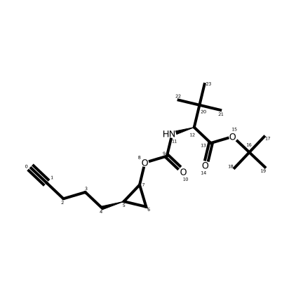 C#CCCC[C@@H]1CC1OC(=O)N[C@H](C(=O)OC(C)(C)C)C(C)(C)C